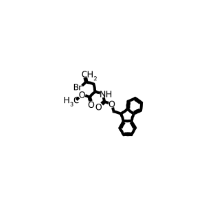 C=C(Br)CC(NC(=O)OCC1c2ccccc2-c2ccccc21)C(=O)OC